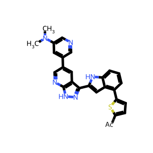 CC(=O)c1ccc(-c2cccc3[nH]c(-c4n[nH]c5ncc(-c6cncc(N(C)C)c6)cc45)cc23)s1